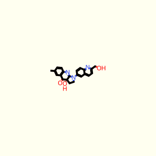 Cc1ccc2c(c1)C(=O)[C@]1(O)CCN(c3ccc4nc(CO)ccc4c3)C1=N2